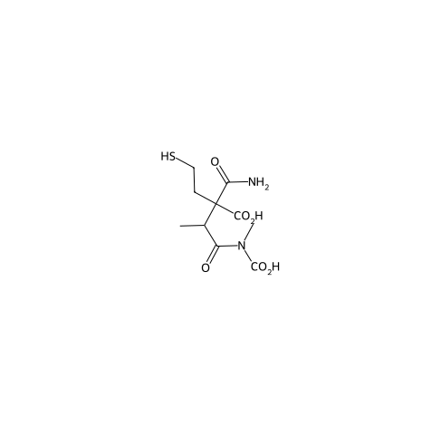 CC(C(=O)N(C)C(=O)O)C(CCS)(C(N)=O)C(=O)O